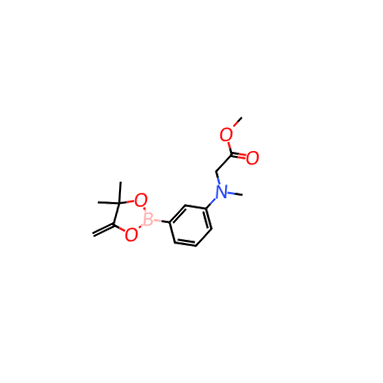 C=C1OB(c2cccc(N(C)CC(=O)OC)c2)OC1(C)C